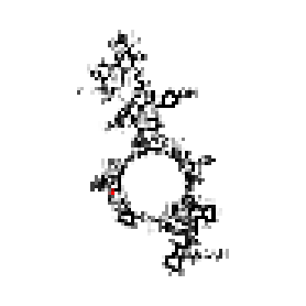 CCCC[C@@H](C(=O)N[C@@H](CC(C)C)C(=O)N[C@@H](CSCC(=O)N[C@@H](Cc1ccc(O)cc1)C(=O)N(C)[C@@H](C)C(=O)N[C@@H](CC(N)=O)C(=O)N1CCC[C@H]1C(=O)N[C@H]1CNC[C@@H](O)[C@@H](O)[C@H](O)[C@@H]2OB(OCC2O)c2ccccc2CNCC[C@@H](C(=O)N[C@@H](Cc2cn(CC(=O)O)c3ccccc23)C(=O)N(C)C)NC(=O)[C@H](Cc2c[nH]c3ccccc23)NC(=O)[C@@H]2C[C@@H](O)CN2C(=O)[C@H](CC(C)C)NC1=O)C(=O)NCC(N)=O)N(C)C